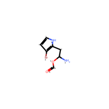 NC(Cc1[nH]ccc1Br)OC=O